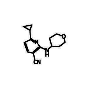 N#Cc1ccc(C2CC2)nc1NC1CCOCC1